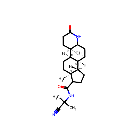 CC(C)(C#N)NC(=O)C1CC[C@H]2[C@@H]3CCC4NC(=O)CC[C@]4(C)[C@@H]3CC[C@]12C